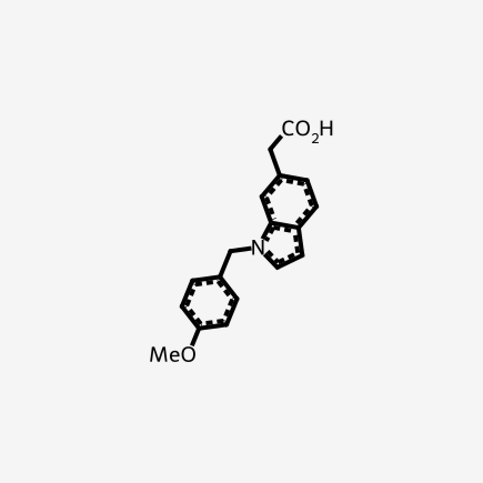 COc1ccc(Cn2ccc3ccc(CC(=O)O)cc32)cc1